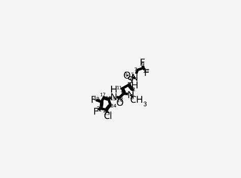 Cn1cc([S+]([O-])NCC(F)F)cc1C(=O)Nc1cc(F)c(F)c(Cl)c1